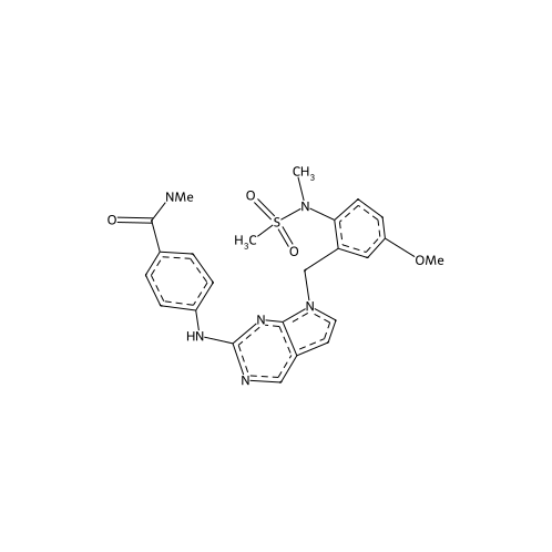 CNC(=O)c1ccc(Nc2ncc3ccn(Cc4cc(OC)ccc4N(C)S(C)(=O)=O)c3n2)cc1